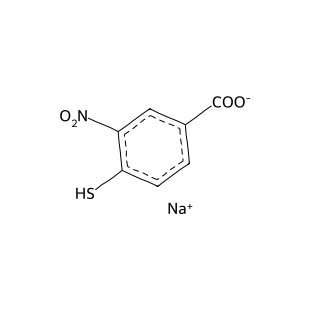 O=C([O-])c1ccc(S)c([N+](=O)[O-])c1.[Na+]